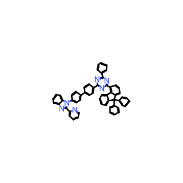 c1ccc(-c2nc(-c3ccc(-c4ccc(-n5c(-c6ccccn6)nc6ccccc65)cc4)cc3)nc(-c3cccc4c3-c3ccccc3C4(c3ccccc3)c3ccccc3)n2)cc1